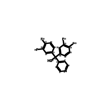 OC(c1ccncc1)(c1ccc(F)c(F)c1)c1ccc(F)c(F)c1